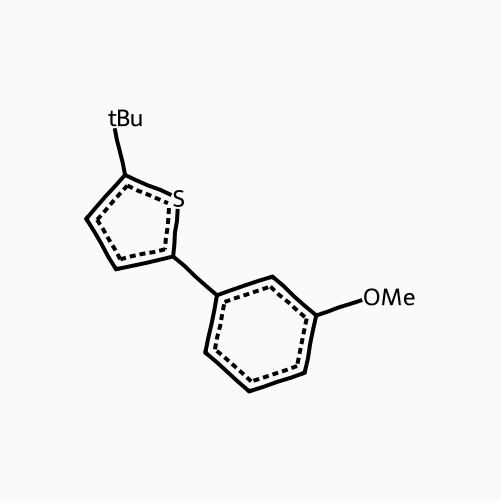 COc1cccc(-c2ccc(C(C)(C)C)s2)c1